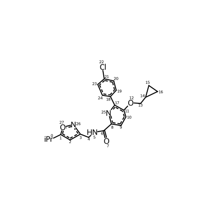 CC(C)c1cc(CNC(=O)c2ccc(OCC3CC3)c(-c3ccc(Cl)cc3)n2)no1